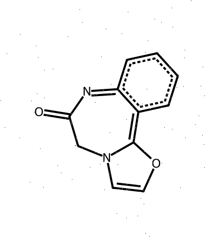 O=C1CN2C=COC2=c2ccccc2=N1